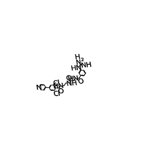 N=C(N)Nc1cccc(C(=O)NCC(=O)NCCNC(=O)c2c(Cl)cc(-c3ccncc3)cc2Cl)c1